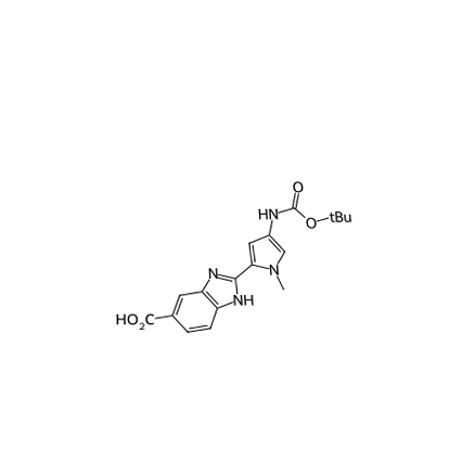 Cn1cc(NC(=O)OC(C)(C)C)cc1-c1nc2cc(C(=O)O)ccc2[nH]1